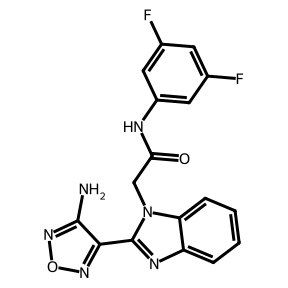 Nc1nonc1-c1nc2ccccc2n1CC(=O)Nc1cc(F)cc(F)c1